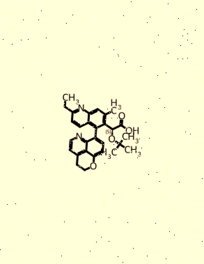 CCc1ccc2c(-c3ccc4c5c(ccnc35)CCO4)c([C@H](OC(C)(C)C)C(=O)O)c(C)cc2n1